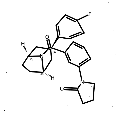 O=C1CCCN1c1cccc(C(=O)N2[C@@H]3CC[C@H]2C[C@@H](c2ccc(F)cc2)C3)c1